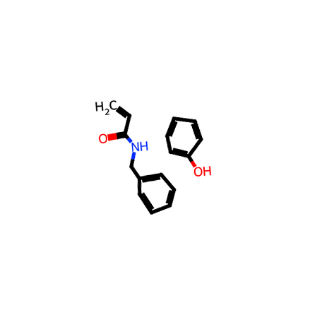 C=CC(=O)NCc1ccccc1.Oc1ccccc1